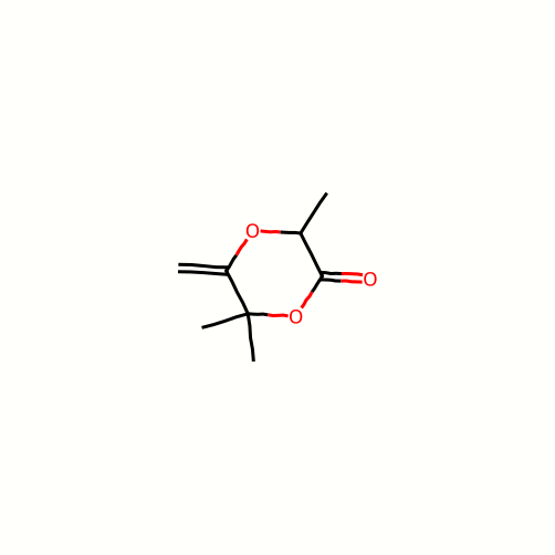 C=C1OC(C)C(=O)OC1(C)C